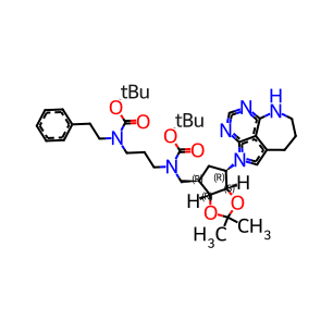 CC(C)(C)OC(=O)N(CCCN(C[C@H]1C[C@@H](n2cc3c4c(ncnc42)NCCC3)[C@@H]2OC(C)(C)O[C@H]12)C(=O)OC(C)(C)C)CCc1ccccc1